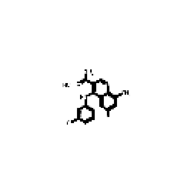 Cc1cc(I)cc2c(Nc3cccc(Cl)c3)c(C(N)=O)cnc12.Cl